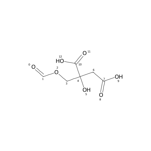 O=COCC(O)(CC(=O)O)C(=O)O